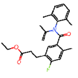 C=C(C)N(C(=O)c1cc(CCC(=O)OCC)c(F)cc1C)c1c(C)cccc1C